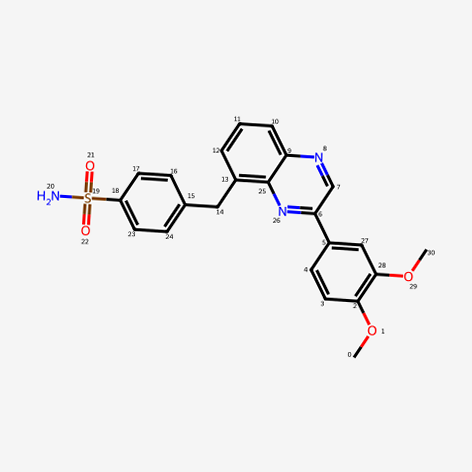 COc1ccc(-c2cnc3cccc(Cc4ccc(S(N)(=O)=O)cc4)c3n2)cc1OC